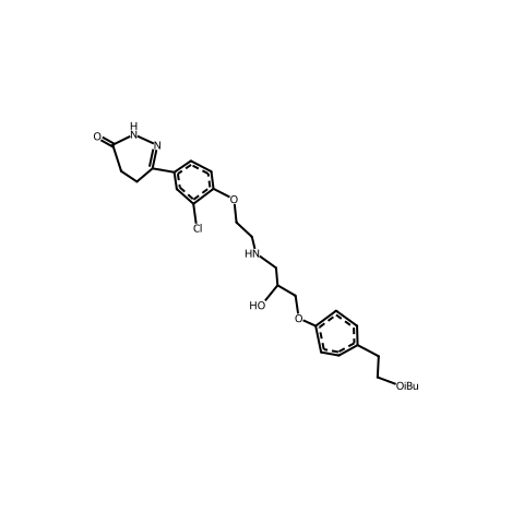 CC(C)COCCc1ccc(OCC(O)CNCCOc2ccc(C3=NNC(=O)CC3)cc2Cl)cc1